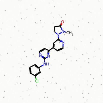 CN1C(=O)CCN1c1cc(-c2ccnc(Nc3cccc(Cl)c3)n2)ccn1